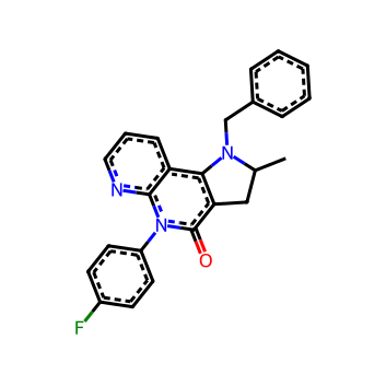 CC1Cc2c(c3cccnc3n(-c3ccc(F)cc3)c2=O)N1Cc1ccccc1